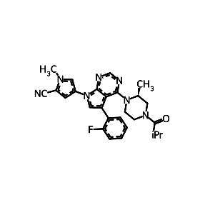 CC(C)C(=O)N1CCN(c2ncnc3c2c(-c2ccccc2F)cn3-c2cc(C#N)n(C)c2)[C@@H](C)C1